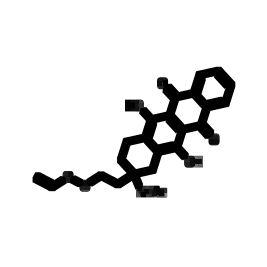 C=COOCCC1(NC(C)=O)CCc2c(O)c3c(c(O)c2C1)C(=O)c1ccccc1C3=O